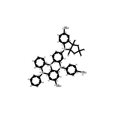 CC1(C)CC2(C)c3cc(C(C)(C)C)ccc3N(c3ccc4c(c3)N(c3ccc(C(C)(C)C)cc3)c3cc(C(C)(C)C)cc5c3B4c3ccccc3N5c3ccccc3)C2(C)C1